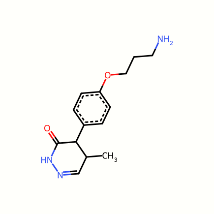 CC1C=NNC(=O)C1c1ccc(OCCCN)cc1